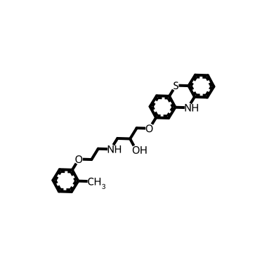 Cc1ccccc1OCCNCC(O)COc1ccc2c(c1)Nc1ccccc1S2